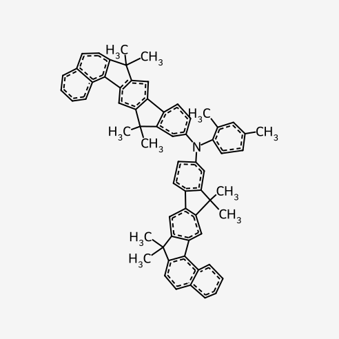 Cc1ccc(N(c2ccc3c(c2)C(C)(C)c2cc4c(cc2-3)C(C)(C)c2ccc3ccccc3c2-4)c2ccc3c(c2)C(C)(C)c2cc4c(cc2-3)C(C)(C)c2ccc3ccccc3c2-4)c(C)c1